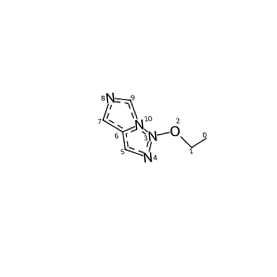 CCOn1ncc2cncn21